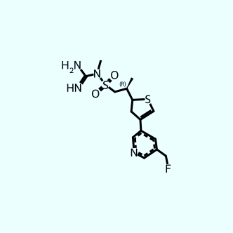 C[C@H](CS(=O)(=O)N(C)C(=N)N)C1CC(c2cncc(CF)c2)=CS1